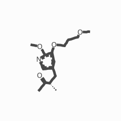 COCCCOc1cc(C[C@H](C)C(C)=O)cnc1OC